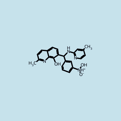 Cc1ccnc(NC(c2cccc([NH+]([O-])O)c2)c2ccc3ccc(C)nc3c2O)c1